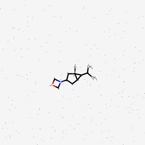 CC(C)C1C2CC(N3COC3)C[C@@H]21